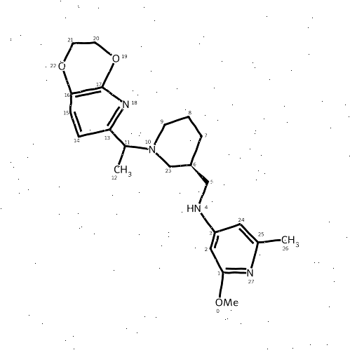 COc1cc(NC[C@@H]2CCCN(C(C)c3ccc4c(n3)OCCO4)C2)cc(C)n1